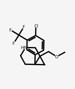 COCC12CNCCC1(c1ccc(Cl)c(C(F)(F)F)c1)C2